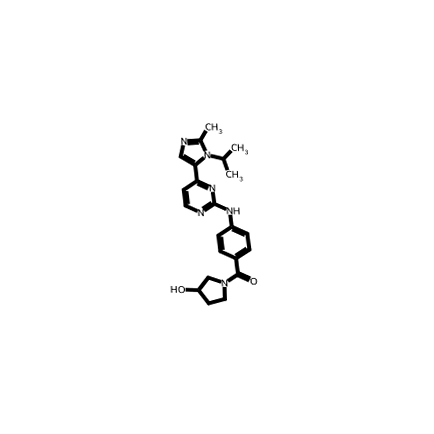 Cc1ncc(-c2ccnc(Nc3ccc(C(=O)N4CCC(O)C4)cc3)n2)n1C(C)C